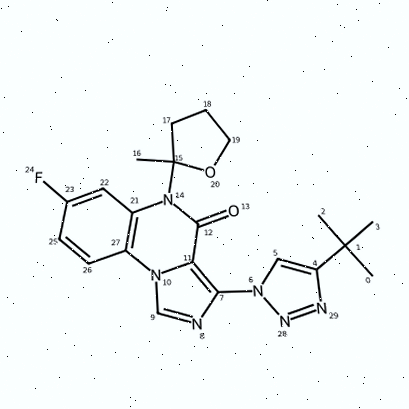 CC(C)(C)c1cn(-c2ncn3c2c(=O)n(C2(C)CCCO2)c2cc(F)ccc23)nn1